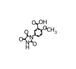 COc1ccc(N2C(=O)NC(=O)C2=O)cc1C(=O)O